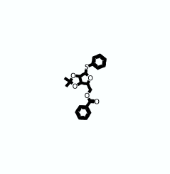 CC1(C)OC2C(COC(=O)c3ccccc3)OC(Sc3ccccc3)C2O1